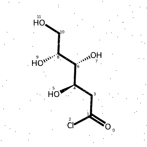 O=C(Cl)C[C@@H](O)[C@@H](O)[C@H](O)CO